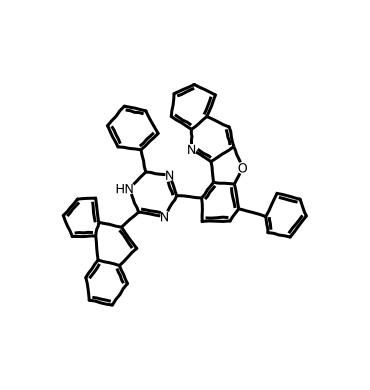 c1ccc(-c2ccc(C3=NC(c4ccccc4)NC(c4cc5ccccc5c5ccccc45)=N3)c3c2oc2cc4ccccc4nc23)cc1